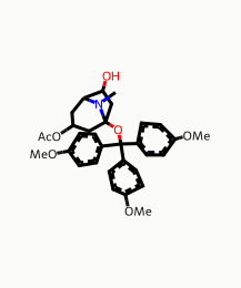 COc1ccc(C(OC23CC(OC(C)=O)CC(C(O)C2)N3C)(c2ccc(OC)cc2)c2ccc(OC)cc2)cc1